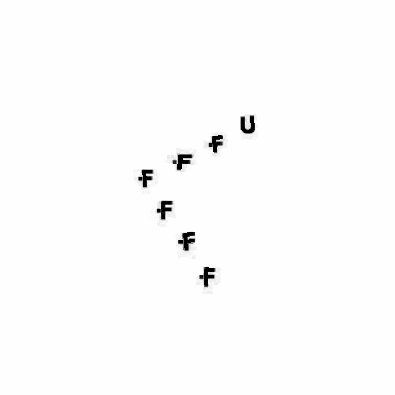 [F].[F].[F].[F].[F].[F].[U]